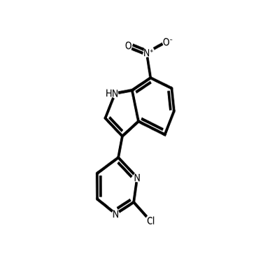 O=[N+]([O-])c1cccc2c(-c3ccnc(Cl)n3)c[nH]c12